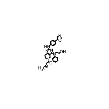 COCC(=O)N1CCc2nc(Nc3ccc(-c4cnco4)cc3)nc(N(CCO)c3ccccc3)c2C1